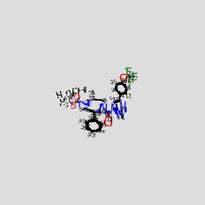 CC(C)(C)OC(=O)N1CCN(C(=O)n2cc(-c3ccc(OC(F)(F)F)cc3)nn2)C(c2ccccc2)C1